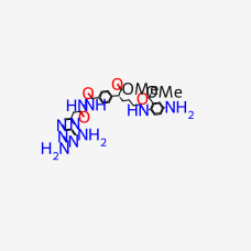 COC(=O)c1cc(N)ccc1NCCCC[C@H](C(=O)OC)c1ccc(C(=O)NNC(=O)Cc2cnc3nc(N)nc(N)c3n2)cc1